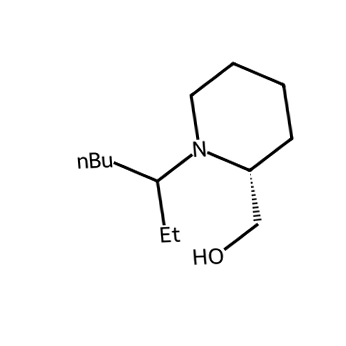 CCCCC(CC)N1CCCC[C@@H]1CO